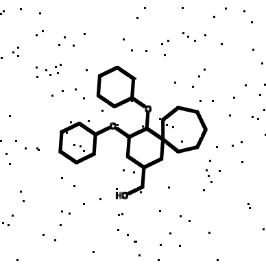 OCC1CC(OC2CCCCC2)[C](OC2CCCCC2)C2(CCCCCC2)C1